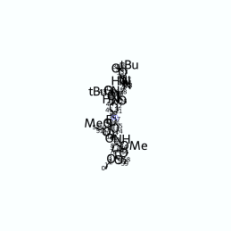 C=CCOC(=O)c1ccc(NC(=O)c2ccc(/C=C(\F)c3ccc(NC(=O)[C@H](Cc4cn(COC(=O)C(C)(C)C)nn4)NC(=O)OC(C)(C)C)cc3)c(OC)c2OCC=C)c(OC)c1OCC=C